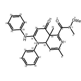 CON(C)C(=O)C1=NC(C)=CC2N(c3ccccc3)C(Nc3ccccc3)=CC(=O)C12C